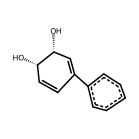 O[C@@H]1C=C(c2ccccc2)C=C[C@@H]1O